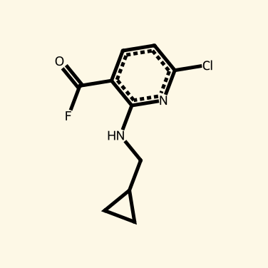 O=C(F)c1ccc(Cl)nc1NCC1CC1